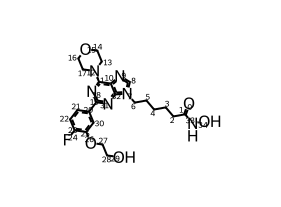 O=C(CCCCCn1cnc2c(N3CCOCC3)nc(-c3ccc(F)c(OCCO)c3)nc21)NO